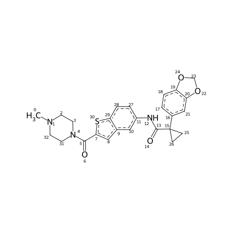 CN1CCN(C(=O)c2cc3cc(NC(=O)C4(c5ccc6c(c5)OCO6)CC4)ccc3s2)CC1